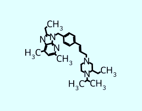 CCc1nc2c(C)cc(C)nc2n1Cc1ccc(C=CCN2CCN(C(C)C)C(CC)C2)cc1